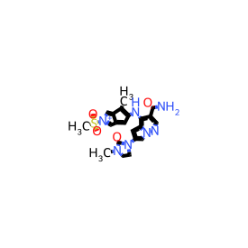 CC1=C(Nc2c(C(N)=O)cnn3cc(N4CCN(C)C4=O)cc23)C=C2C=[N+](S(C)(=O)=O)C=C21